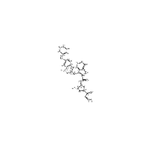 C=CC(=O)N1C[C@H](NC(=O)c2sc3nccc4c3c2NC(=O)N4c2ccc(Oc3ccccc3)cc2C)[C@@H](F)C1